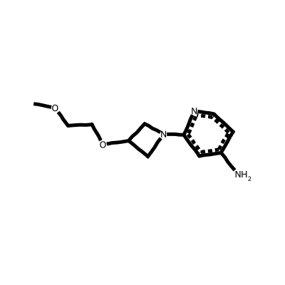 COCCOC1CN(c2cc(N)ccn2)C1